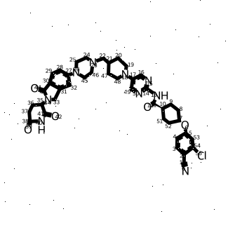 N#Cc1ccc(O[C@H]2CC[C@H](C(=O)Nc3ncc(N4CCC(CN5CCN(c6ccc7c(c6)CN(C6CCC(=O)NC6=O)C7=O)CC5)CC4)cn3)CC2)cc1Cl